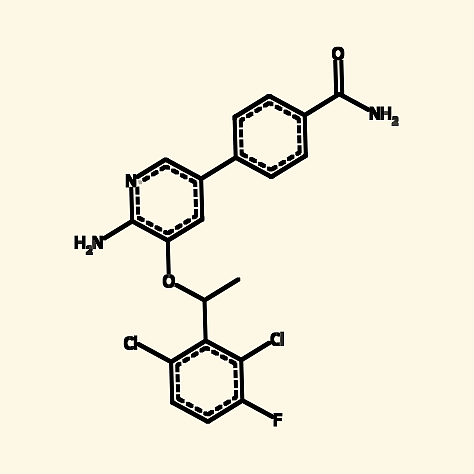 CC(Oc1cc(-c2ccc(C(N)=O)cc2)cnc1N)c1c(Cl)ccc(F)c1Cl